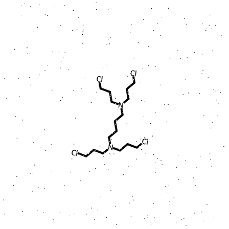 ClCCCN(CCCCl)CCCCN(CCCCl)CCCCl